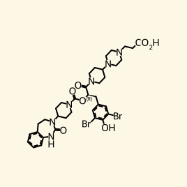 O=C(O)CCN1CCN(C2CCN(C(=O)[C@@H](Cc3cc(Br)c(O)c(Br)c3)OC(=O)N3CCC(N4CCc5ccccc5NC4=O)CC3)CC2)CC1